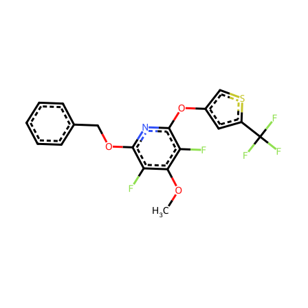 COc1c(F)c(OCc2ccccc2)nc(Oc2csc(C(F)(F)F)c2)c1F